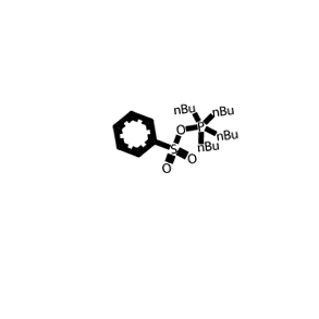 CCCCP(CCCC)(CCCC)(CCCC)OS(=O)(=O)c1ccccc1